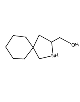 OCC1CC2(CCCCC2)CN1